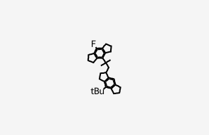 CC(C)(C)c1c2c(cc3c1CCC3CC(C)(C)c1c3c(c(F)c4c1CCC4)CCC3)CCC2